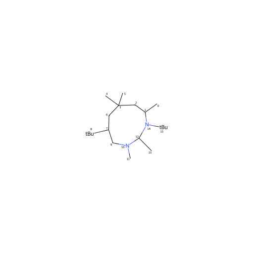 CC1CC(C)(C)CC(C(C)(C)C)CN(C)C(C)N1C(C)(C)C